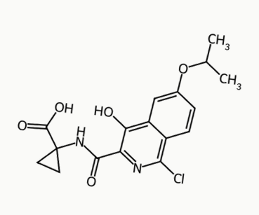 CC(C)Oc1ccc2c(Cl)nc(C(=O)NC3(C(=O)O)CC3)c(O)c2c1